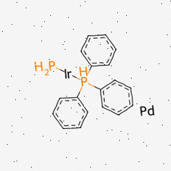 [PH2][Ir][PH](c1ccccc1)(c1ccccc1)c1ccccc1.[Pd]